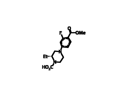 CC[C@@H]1CN(c2ccc(C(=O)OC)c(F)c2)CCN1C(=O)O